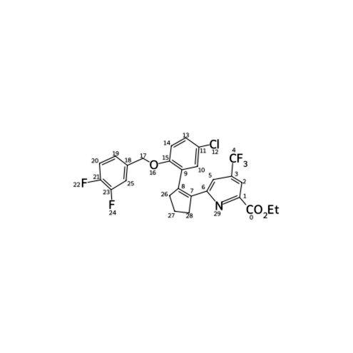 CCOC(=O)c1cc(C(F)(F)F)cc(C2=C(c3cc(Cl)ccc3OCc3ccc(F)c(F)c3)CCC2)n1